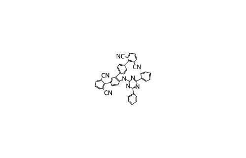 N#Cc1cccc(C#N)c1-c1ccc2c(c1)c1ccc(-c3c(C#N)cccc3C#N)cc1n2-c1nc(-c2ccccc2)nc(-c2ccccc2)n1